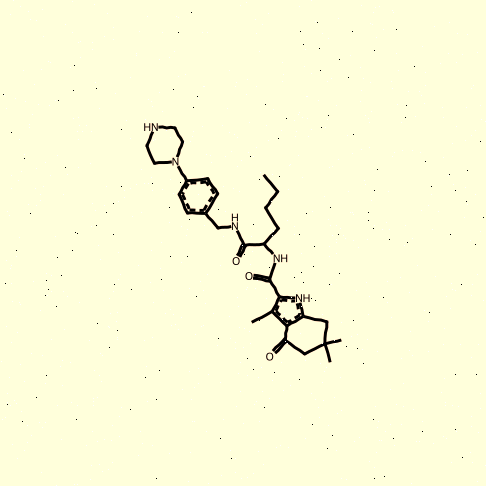 CCCCC(NC(=O)c1[nH]c2c(c1C)C(=O)CC(C)(C)C2)C(=O)NCc1ccc(N2CCNCC2)cc1